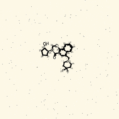 O=C1c2cc(CN3CCC(F)(F)CC3)c3ccccc3c2OCN1[C@H]1CCC[C@@H]1O